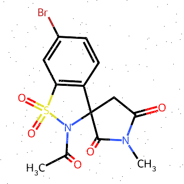 CC(=O)N1C2(CC(=O)N(C)C2=O)c2ccc(Br)cc2S1(=O)=O